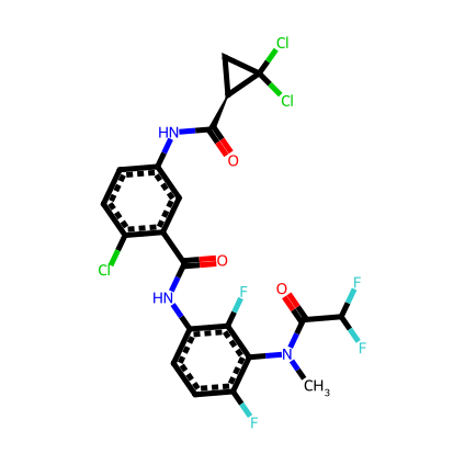 CN(C(=O)C(F)F)c1c(F)ccc(NC(=O)c2cc(NC(=O)[C@H]3CC3(Cl)Cl)ccc2Cl)c1F